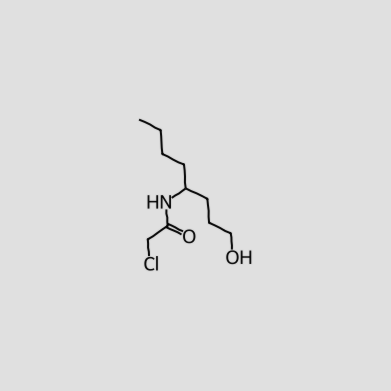 CCCCC(CCCO)NC(=O)CCl